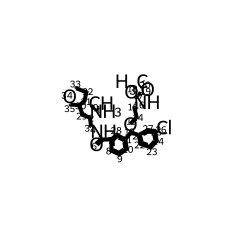 CNC(CNC(=O)c1cccc([C@@H](OCCNC(=O)OC)c2cccc(Cl)c2)c1)CC1CCCOC1